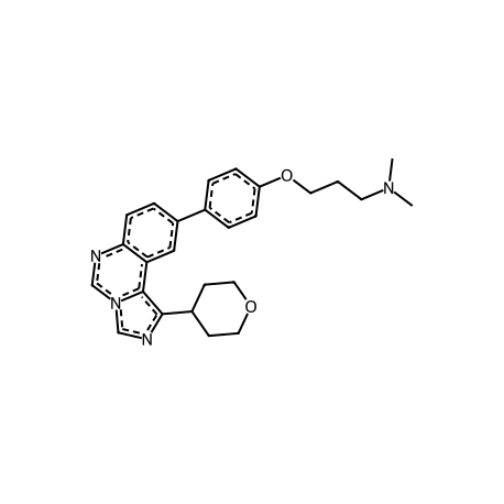 CN(C)CCCOc1ccc(-c2ccc3ncn4cnc(C5CCOCC5)c4c3c2)cc1